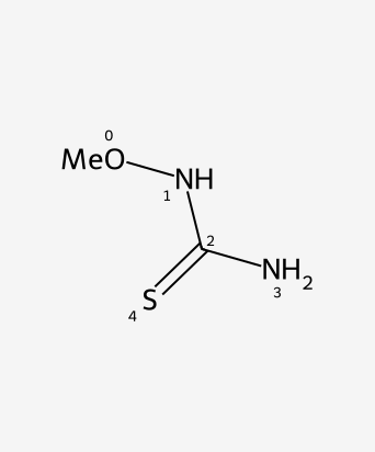 CONC(N)=S